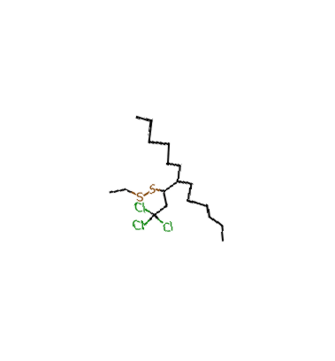 CCCCCCC(CCCCCC)C(CC(Cl)(Cl)Cl)SSCC